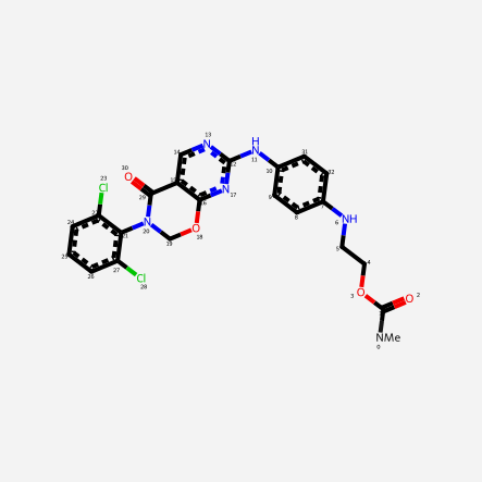 CNC(=O)OCCNc1ccc(Nc2ncc3c(n2)OCN(c2c(Cl)cccc2Cl)C3=O)cc1